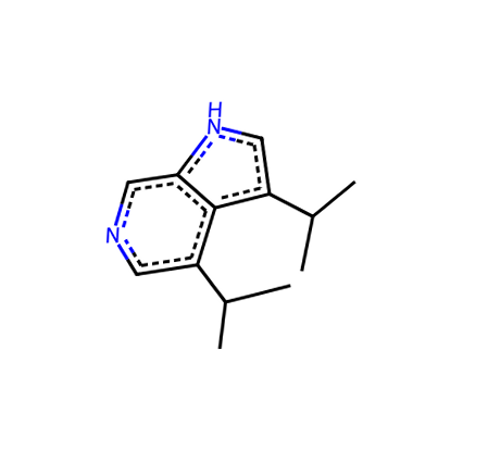 CC(C)c1cncc2[nH]cc(C(C)C)c12